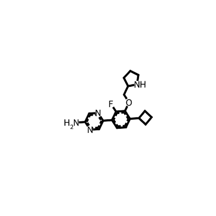 Nc1cnc(-c2ccc(C3CCC3)c(OCC3CCCN3)c2F)cn1